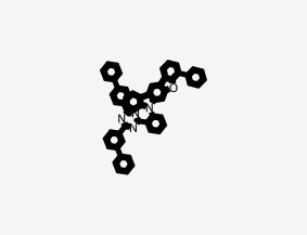 c1ccc(-c2ccc(-c3nc(-c4cccc(-c5ccccc5)c4)nc(-c4ccccc4-n4c5ccccc5c5cc6c(cc54)oc4c(-c5ccccc5)cccc46)n3)cc2)cc1